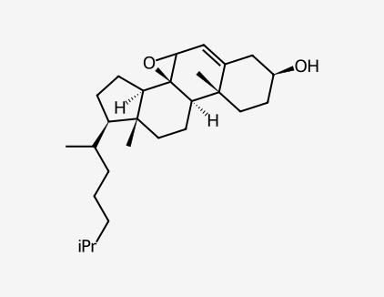 CC(C)CCCC(C)[C@H]1CC[C@@H]2[C@]1(C)CC[C@H]1[C@]23OC3C=C2C[C@@H](O)CC[C@@]21C